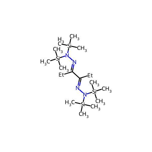 CCC(=N\N([Si](C)(C)C)[Si](C)(C)C)/C(CC)=N/N([Si](C)(C)C)[Si](C)(C)C